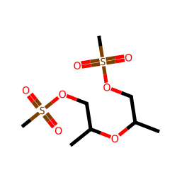 CC(COS(C)(=O)=O)OC(C)COS(C)(=O)=O